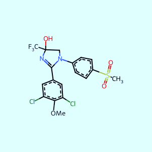 COc1c(Cl)cc(C2=NC(O)(C(F)(F)F)CN2c2ccc(S(C)(=O)=O)cc2)cc1Cl